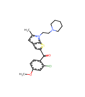 COc1ccc(C(=O)c2cc3cc(C)n(CCN4CCCCC4)c3s2)c(Cl)c1